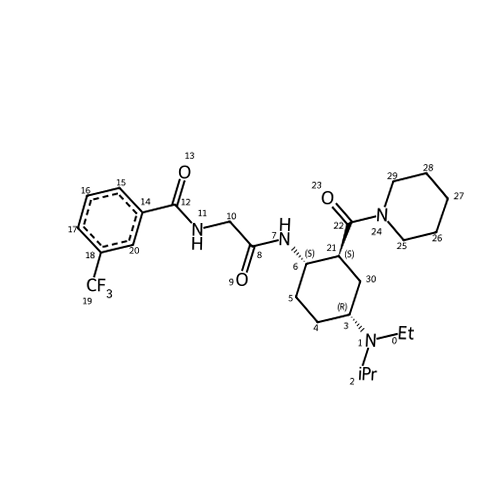 CCN(C(C)C)[C@@H]1CC[C@H](NC(=O)CNC(=O)c2cccc(C(F)(F)F)c2)[C@@H](C(=O)N2CCCCC2)C1